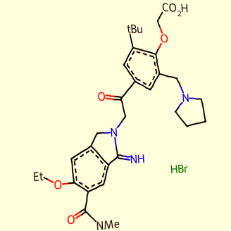 Br.CCOc1cc2c(cc1C(=O)NC)C(=N)N(CC(=O)c1cc(CN3CCCC3)c(OCC(=O)O)c(C(C)(C)C)c1)C2